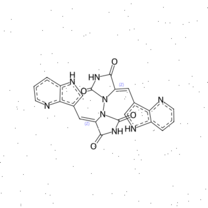 O=C1NC(=O)N(N2C(=O)NC(=O)/C2=C/c2c[nH]c3cccnc23)/C1=C\c1c[nH]c2cccnc12